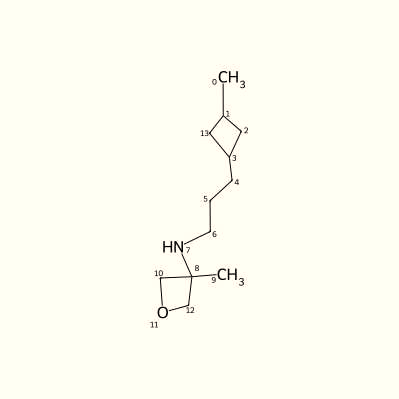 CC1CC(CCCNC2(C)COC2)C1